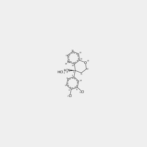 Cl.N[C@]1(c2ccc(Cl)c(Cl)c2)CCOc2cccnc21